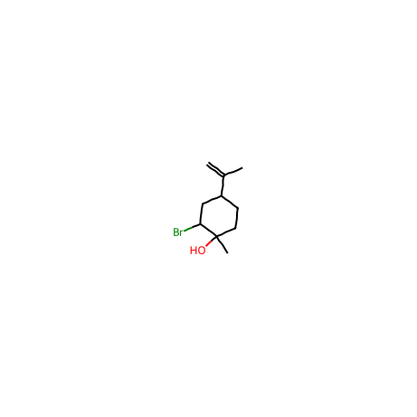 C=C(C)C1CCC(C)(O)C(Br)C1